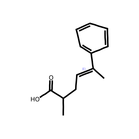 C/C(=C\CC(C)C(=O)O)c1ccccc1